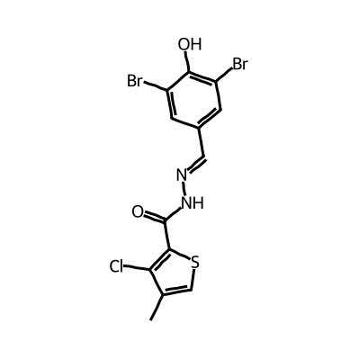 Cc1csc(C(=O)N/N=C/c2cc(Br)c(O)c(Br)c2)c1Cl